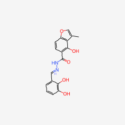 Cc1coc2ccc(C(=O)N/N=C/c3cccc(O)c3O)c(O)c12